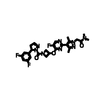 Cc1nn(CC(=O)N(C)C)c(C)c1-c1ncc(F)c(OC2CN(C(=O)N3N=CCC3c3cc(F)cc(F)c3)C2)n1